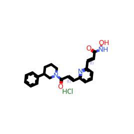 Cl.O=C(/C=C/c1cccc(/C=C/C(=O)N2CCCC(c3ccccc3)C2)n1)NO